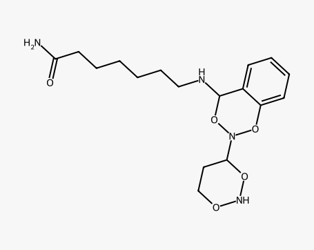 NC(=O)CCCCCCNC1ON(C2CCONO2)Oc2ccccc21